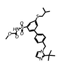 COC(=O)NS(=O)(=O)c1cc(SCC(C)C)cc(-c2ccc(Cn3ccnc3C(C)(C)C)cc2)c1